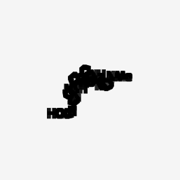 CN[C@@H]1CCCn2nc(C(=O)Nc3cccc(-c4cccc(Nc5nccc6cc(CN7CC[C@@H](O)C7)cnc56)c4Cl)c3Cl)cc21